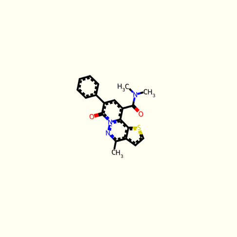 Cc1nn2c(=O)c(-c3ccccc3)cc(C(=O)N(C)C)c2c2sccc12